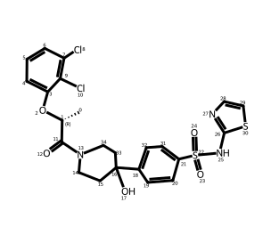 C[C@@H](Oc1cccc(Cl)c1Cl)C(=O)N1CCC(O)(c2ccc(S(=O)(=O)Nc3nccs3)cc2)CC1